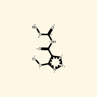 CCOc1nonc1C(=O)NC(=O)OC(C)(C)C